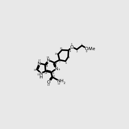 COCCOC1CCC(c2nc(C(N)=O)c3[nH]cnc3n2)CC1